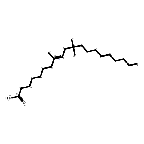 CCCCCCCCCC(C)(C)C/C=C(\C)CCCCCCC(N)=O